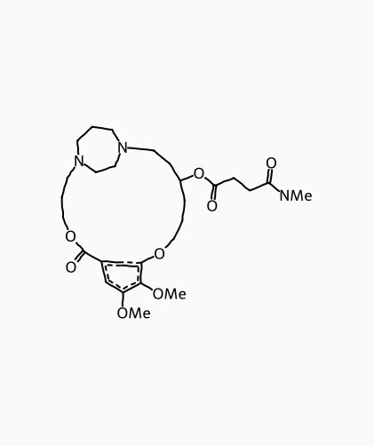 CNC(=O)CCC(=O)OC1CCCOc2cc(cc(OC)c2OC)C(=O)OCCCN2CCCN(CC1)CC2